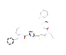 CC[C@H](C)[C@H](NC(=O)[C@H]1CCCCN1C)C(=O)N(CCOC)[C@H](C[C@@H](O)c1nc(C(=O)N[C@@H](Cc2ccccc2)C[C@H](C)C(=O)O)cs1)C(C)C